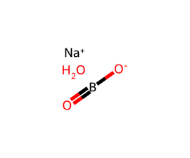 O.O=B[O-].[Na+]